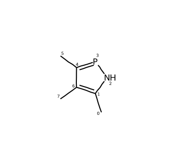 Cc1[nH]pc(C)c1C